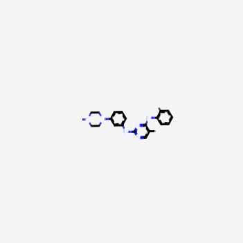 CCOC(=O)c1ccccc1Nc1nc(Nc2cccc(N3CCN(C)CC3)c2)ncc1C